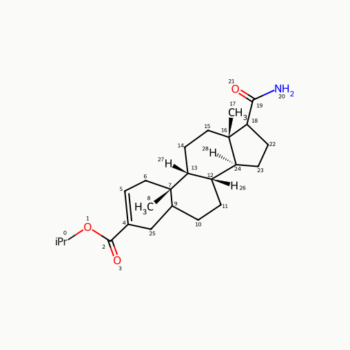 CC(C)OC(=O)C1=CC[C@@]2(C)C(CC[C@@H]3[C@H]2CC[C@]2(C)C(C(N)=O)CC[C@@H]32)C1